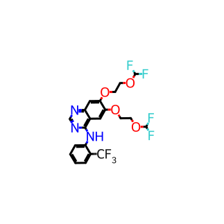 FC(F)OCCOc1cc2ncnc(Nc3ccccc3C(F)(F)F)c2cc1OCCOC(F)F